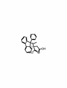 CN(C1(c2ccccc2)c2ccccc2-c2ccccc21)[C@@](C)(CC(=O)O)C(=O)O